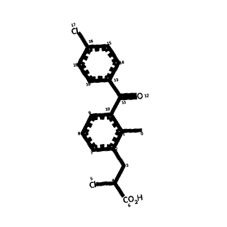 Cc1c(CC(Cl)C(=O)O)cccc1C(=O)c1ccc(Cl)cc1